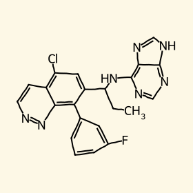 CCC(Nc1ncnc2[nH]cnc12)c1cc(Cl)c2ccnnc2c1-c1cccc(F)c1